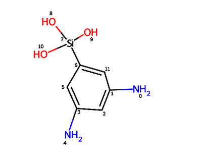 Nc1cc(N)cc([Si](O)(O)O)c1